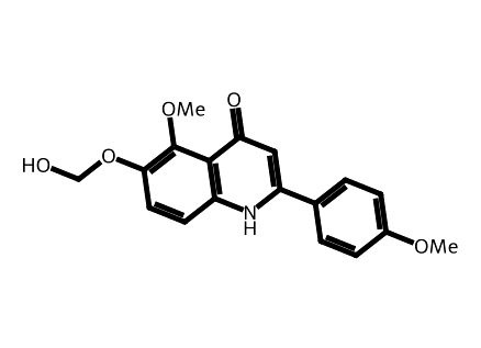 COc1ccc(-c2cc(=O)c3c(OC)c(OCO)ccc3[nH]2)cc1